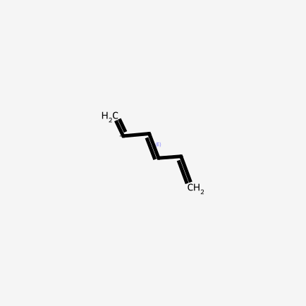 C=[C]/C=C/C=C